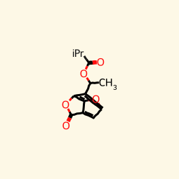 CC(C)C(=O)OC(C)c1c2c3oc1cc3C(=O)O2